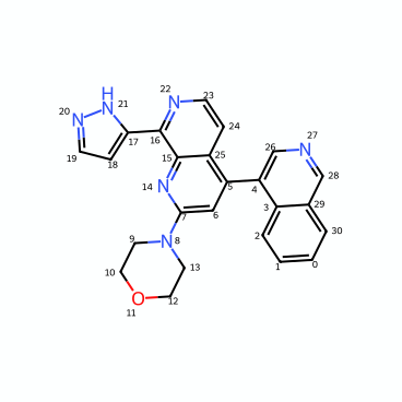 c1ccc2c(-c3cc(N4CCOCC4)nc4c(-c5ccn[nH]5)nccc34)cncc2c1